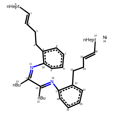 CCCCCCCC=CCCc1ccccc1N=C(CCCC)C(CCCC)=Nc1ccccc1CCC=CCCCCCCC.[Ni]